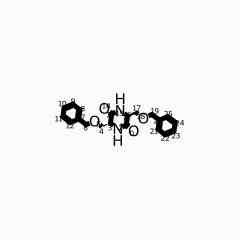 O=C1N[C@H](COCc2ccccc2)C(=O)N[C@H]1COCc1ccccc1